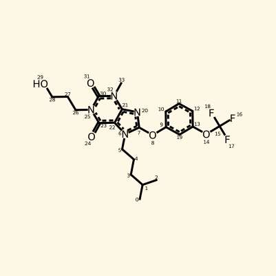 CC(C)CCCn1c(Oc2cccc(OC(F)(F)F)c2)nc2c1c(=O)n(CCCO)c(=O)n2C